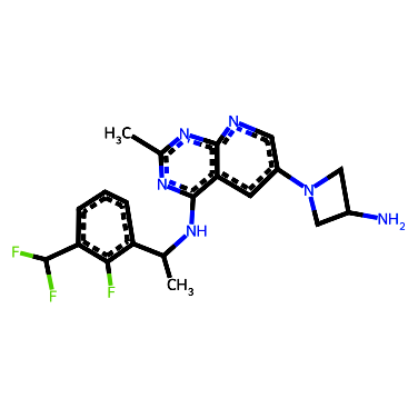 Cc1nc(NC(C)c2cccc(C(F)F)c2F)c2cc(N3CC(N)C3)cnc2n1